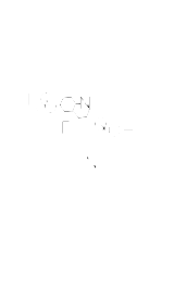 COc1ccc2nccc([C@@H](F)CCC3CCN(CC4CCCCC4)CC3CCC(=O)O)c2c1